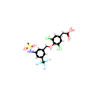 CS(=O)(=O)Nc1cc(COc2c(Cl)cc(CC(=O)O)cc2Cl)cc(C(F)(F)F)c1